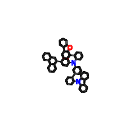 c1cc(-c2ccccc2-n2c3ccccc3c3ccccc32)cc(N(c2ccc(-c3cc4ccccc4c4ccccc34)cc2)c2ccccc2-c2cccc3c2oc2ccccc23)c1